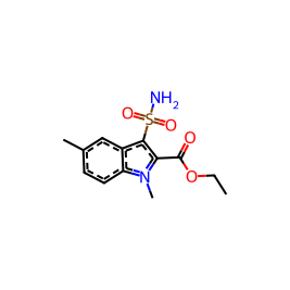 CCOC(=O)c1c(S(N)(=O)=O)c2cc(C)ccc2n1C